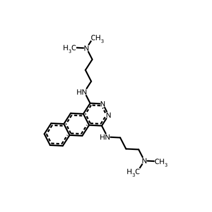 CN(C)CCCNc1nnc(NCCCN(C)C)c2cc3ccccc3cc12